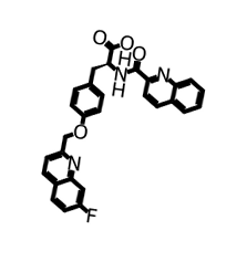 O=C(N[C@@H](Cc1ccc(OCc2ccc3ccc(F)cc3n2)cc1)C(=O)O)c1ccc2ccccc2n1